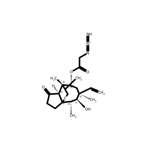 C=C[C@]1(C)C[C@@H](OC(=O)CN=[N+]=N)[C@]2(C)C(C)CC[C@]3(CCC(=O)[C@H]32)[C@@H](C)[C@@H]1O